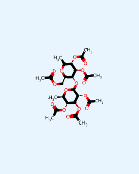 CC(=O)OC[C@H]1OC(C)[C@H](OC(C)=O)[C@@H](OC(C)=O)[C@@H]1OC1O[C@H](C)[C@@H](OC(C)=O)[C@H](OC(C)=O)[C@H]1OC(C)=O